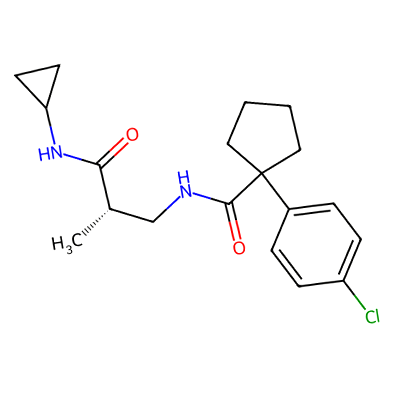 C[C@@H](CNC(=O)C1(c2ccc(Cl)cc2)CCCC1)C(=O)NC1CC1